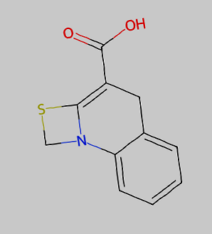 O=C(O)C1=C2SCN2c2ccccc2C1